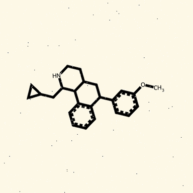 COc1cccc(C2CC3CCNC(CC4CC4)C3c3ccccc32)c1